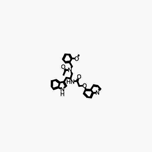 COc1ccccc1CN(CC(Cc1c[nH]c2ccccc12)NC(=O)COc1cccc2ncccc12)C(C)=O